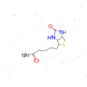 CC(C)(C)C(=O)CCCCC1SCC2NC(=O)NC21